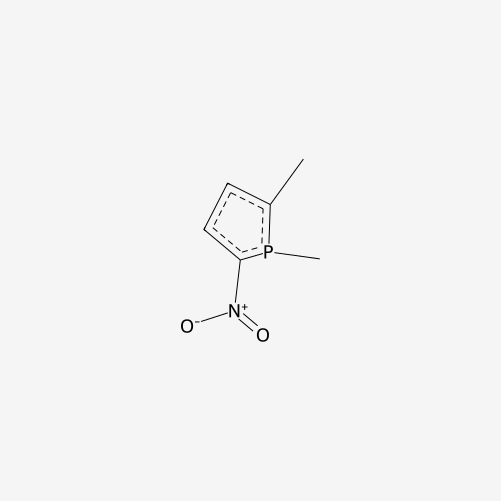 Cc1ccc([N+](=O)[O-])p1C